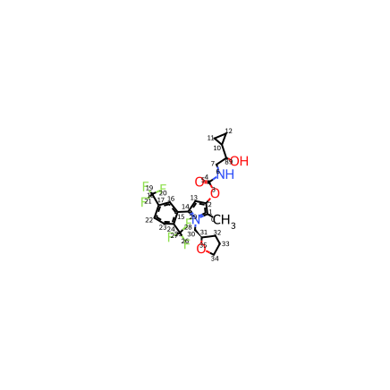 Cc1c(OC(=O)NCC(O)C2CC2)cc(-c2cc(C(F)(F)F)ccc2C(F)(F)F)n1C[C@H]1CCCO1